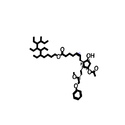 CCC(C)C(CC)C(CC)C(CC)C(CC)CCCCOC(=O)CCC/C=C\C[C@@H]1[C@@H](CC[C@H](COc2ccccc2)OC)[C@H](OC(C)=O)C[C@@H]1O